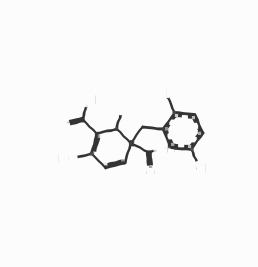 CC1=C(C(=O)O)C(I)C(Cc2cc(Cl)ccc2Cl)(C(=O)O)C=C1